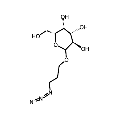 [N-]=[N+]=NCCCOC1O[C@H](CO)[C@H](O)[C@H](O)[C@H]1O